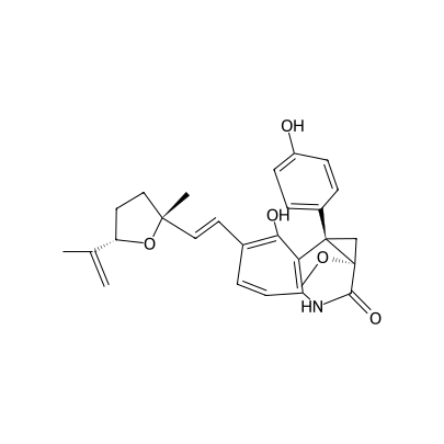 C=C(C)[C@@H]1CC[C@](C)(/C=C/c2ccc3c(c2O)[C@]2(c4ccc(O)cc4)C[C@@]2(OC)C(=O)N3)O1